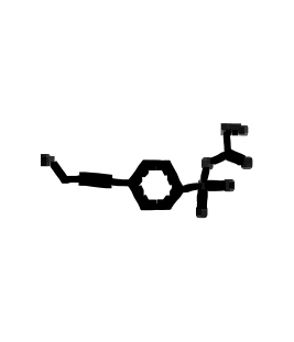 CNC(=O)OS(=O)(=O)c1ccc(C#CCBr)cc1